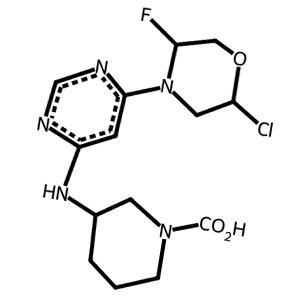 O=C(O)N1CCCC(Nc2cc(N3CC(Cl)OCC3F)ncn2)C1